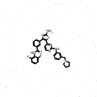 Nc1nc(-c2cccc(C(=O)Nc3c(F)cccc3F)c2)c(-c2ccnc(Nc3cccc(CN4CCCC4)c3)n2)s1